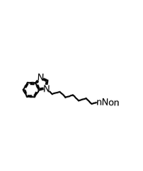 CCCCCCCCCCCCCCCCn1cnc2ccccc21